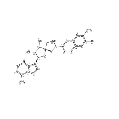 Nc1nc2cc([C@@H]3C[C@@]4(CN3)O[C@@H](n3ccc5c(N)ncnc53)[C@H](O)[C@@H]4O)ccc2cc1Br